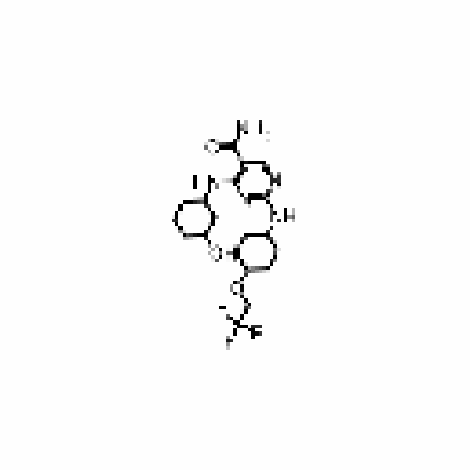 NC(=O)c1cnc(N[C@H]2CC[C@H](OCC(F)(F)F)CC2)nc1NC1CCC[C@H](O)C1